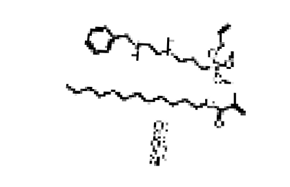 C=C(C)C(=O)OCCCCCCCCCCCC.C=CCO[Si](CCCNCCNCc1ccccc1)(OC)OC.[Al+3].[Al+3].[O-2].[O-2].[O-2]